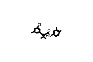 Cc1cc(Cl)cc(C2C(C(=O)Nc3ccc(C)c(C)c3)C2(C)C)c1